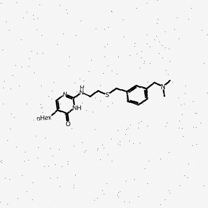 CCCCCCc1cnc(NCCSCc2cccc(CN(C)C)c2)[nH]c1=O